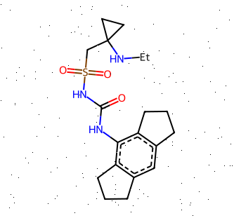 CCNC1(CS(=O)(=O)NC(=O)Nc2c3c(cc4c2CCC4)CCC3)CC1